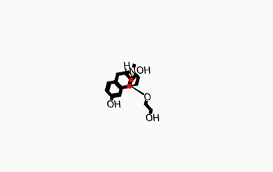 CN1CC[C@]23C[C@H](OCCO)CC(O)C2[C@H]1Cc1ccc(O)cc13